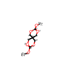 CCOC1OCC2(CO1)COC(OCC)OC2